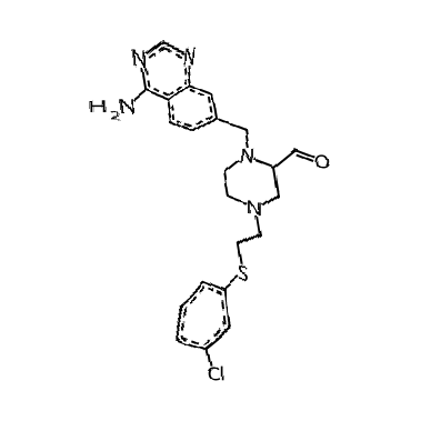 Nc1ncnc2cc(CN3CCN(CCSc4cccc(Cl)c4)CC3C=O)ccc12